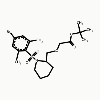 Cc1cc(Br)cc(C)c1S(=O)(=O)N1CCCCC1COCC(=O)OC(C)(C)C